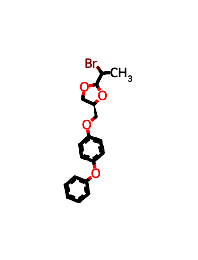 CC(Br)C1OC[C@H](COc2ccc(Oc3ccccc3)cc2)O1